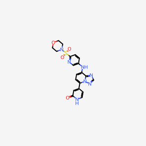 O=c1cc(-c2ccc(Nc3ccc(S(=O)(=O)N4CCOCC4)nc3)c3ncnn23)cc[nH]1